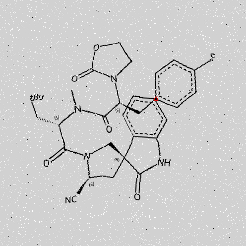 CN(C(=O)[C@H](Cc1ccc(F)cc1)N1CCOC1=O)[C@@H](CC(C)(C)C)C(=O)N1C[C@]2(C[C@H]1C#N)C(=O)Nc1ccccc12